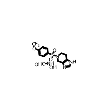 O=CNO.O=S(=O)(c1ccc(OC(F)(F)F)cc1)N1CCc2[nH]cnc2C1